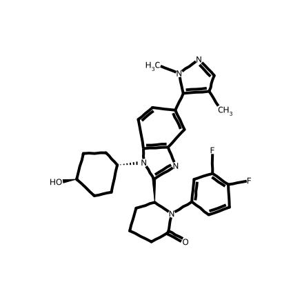 Cc1cnn(C)c1-c1ccc2c(c1)nc([C@@H]1CCCC(=O)N1c1ccc(F)c(F)c1)n2[C@H]1CC[C@H](O)CC1